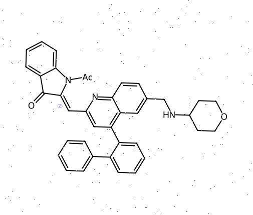 CC(=O)N1/C(=C\c2cc(-c3ccccc3-c3ccccc3)c3cc(CNC4CCOCC4)ccc3n2)C(=O)c2ccccc21